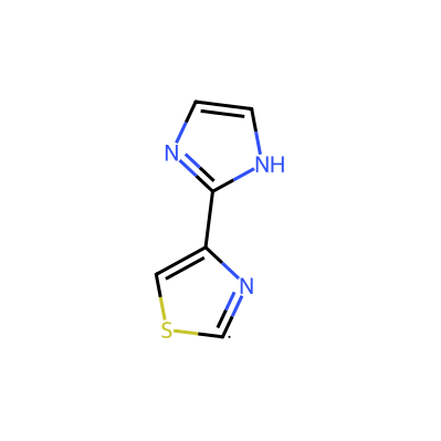 [c]1nc(-c2ncc[nH]2)cs1